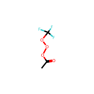 CC(=O)OOOC(F)(F)F